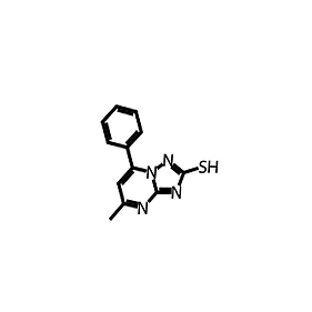 Cc1cc(-c2ccccc2)n2nc(S)nc2n1